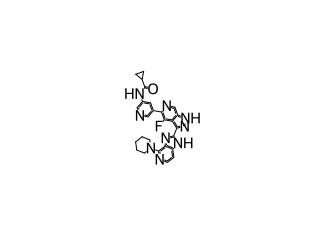 O=C(Nc1cncc(-c2ncc3[nH]nc(-c4nc5c(N6CCCCC6)nccc5[nH]4)c3c2F)c1)C1CC1